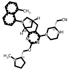 Cc1cccc2cccc(N3C[C@@H]4Cc5c(nc(OC[C@@H]6CCCN6C)nc5N5CCN[C@@H](CC#N)C5)[C@H]3C4)c12